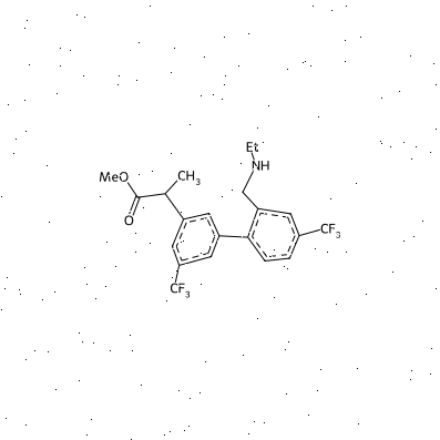 CCNCc1cc(C(F)(F)F)ccc1-c1cc(C(C)C(=O)OC)cc(C(F)(F)F)c1